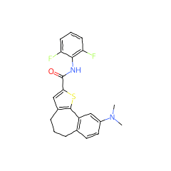 CN(C)c1ccc2c(c1)-c1sc(C(=O)Nc3c(F)cccc3F)cc1CCC2